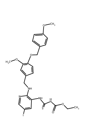 CCOC(=O)NC(=S)Nc1cc(I)cnc1NCc1ccc(OCc2ccc(OC)cc2)c(OC)c1